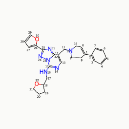 C1=C(c2ccccc2)CCN(Cc2cnc(NCC3CCCO3)n3nc(-c4ccco4)nc23)C1